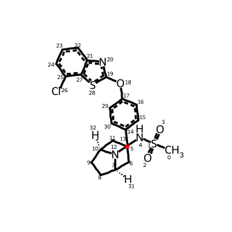 CS(=O)(=O)NC1C[C@H]2CC[C@@H](C1)N2Cc1ccc(Oc2nc3cccc(Cl)c3s2)cc1